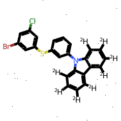 [2H]c1c([2H])c([2H])c2c(c1[2H])c1c([2H])c([2H])c([2H])c([2H])c1n2-c1cccc(Sc2cc(Cl)cc(Br)c2)c1